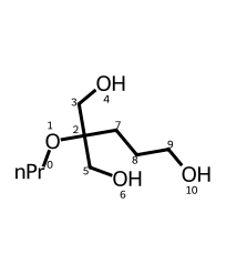 CCCOC(CO)(CO)CCCO